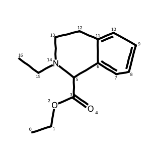 CCOC(=O)C1c2ccccc2CCN1CC